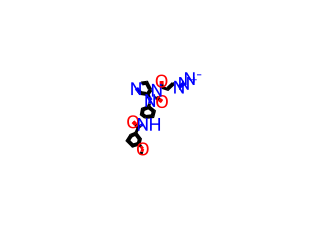 COc1cccc(C(=O)Nc2ccc(-n3c(=O)n(C(=O)C=CN=[N+]=[N-])c4ccncc43)cc2)c1